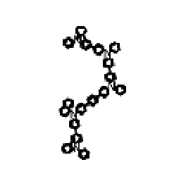 c1ccc(N(c2ccc(-c3ccc(-c4ccc(N(c5ccc(-c6ccc7c(c6)c6ccccc6n7-c6ccccc6)cc5)c5cccc6ccccc56)cc4)cc3)cc2)c2ccc(-c3ccc(N(c4ccccc4)c4ccc(-c5ccc6c(c5)c5ccccc5n6-c5ccccc5)cc4)cc3)cc2)cc1